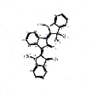 C=c1/c(=C2\C(=O)/C(=C3/N(CCCC)c4ccccc4C3(C)C)c3ccccc32)n(CCCC)c2ccccc12